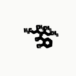 CCC(C)N(C(=O)c1ccccc1Cl)C(C)CC